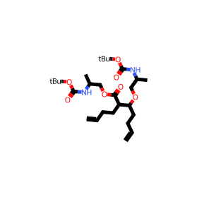 C=CCCC(OCC(C)NC(=O)OC(C)(C)C)C(CCC=C)C(=O)OCC(C)NC(=O)OC(C)(C)C